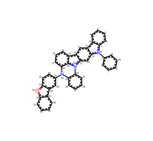 c1ccc(-n2c3ccccc3c3cc4c5cccc6c5n(c4cc32)-c2ccccc2N6c2ccc3oc4ccccc4c3c2)cc1